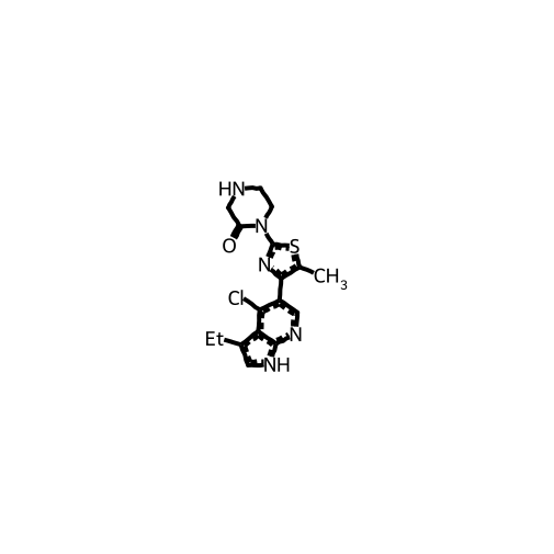 CCc1c[nH]c2ncc(-c3nc(N4CCNCC4=O)sc3C)c(Cl)c12